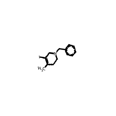 CC1=C(I)CN(Cc2ccccc2)CC1